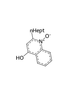 CCCCCCCc1cc(O)c2ccccc2[n+]1[O-]